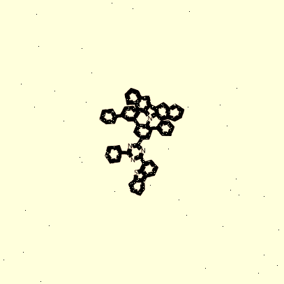 c1ccc(-c2cccc(-c3cc(-c4nc(-c5ccccc5)nc(-c5cccc6c5sc5ccccc56)n4)cc(-c4ccccc4)c3-n3c4cc5ccccc5cc4c4cc5ccccc5cc43)c2)cc1